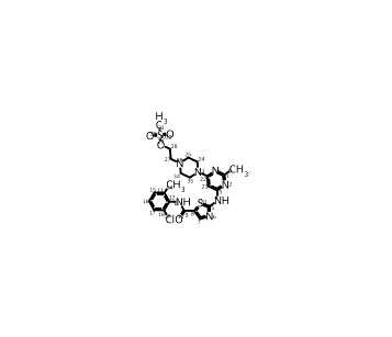 Cc1nc(Nc2ncc(C(=O)Nc3c(C)cccc3Cl)s2)cc(N2CCN(CCOS(C)(=O)=O)CC2)n1